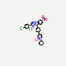 O=c1cc(-c2ccc(C(c3ccc([N+](=O)[O-])cc3)c3nc(-c4ccc(Cl)cc4Cl)c[nH]3)cc2)ccn1C1CCCCC1